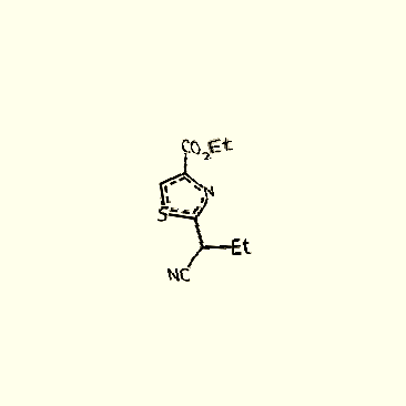 CCOC(=O)c1csc(C(C#N)CC)n1